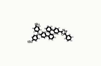 CC(C)(C)c1ccc(N(c2ccc(-c3ccccc3-c3ccccc3-c3ccc(-c4nnc(-c5ccccc5)o4)cc3)cc2)c2ccc(C(C)(C)C)cc2)cc1